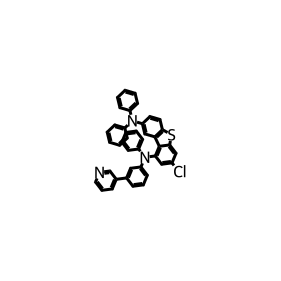 Clc1cc(N(c2ccccc2)c2cccc(-c3cccnc3)c2)c2c(c1)sc1ccc(N(c3ccccc3)c3ccccc3)cc12